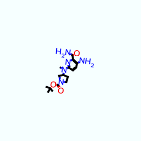 CN(c1ccc(N)c(C(N)=O)n1)C1CCN(C(=O)OC(C)(C)C)C1